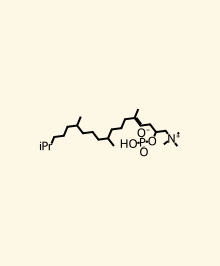 CC(=CCC(C[N+](C)(C)C)OP(=O)([O-])O)CCCC(C)CCCC(C)CCCC(C)C